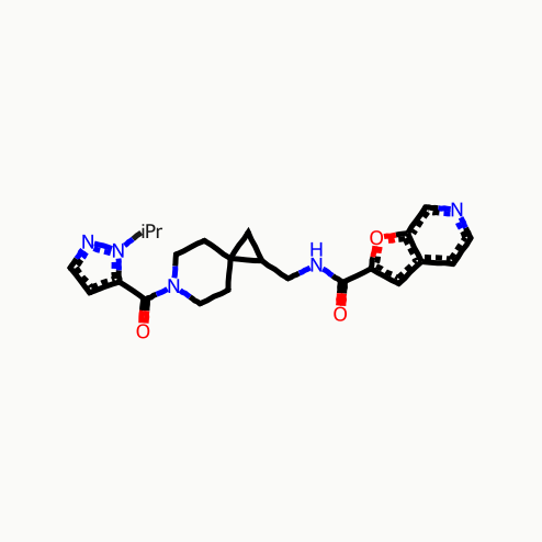 CC(C)n1nccc1C(=O)N1CCC2(CC1)CC2CNC(=O)c1cc2ccncc2o1